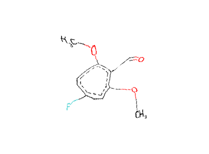 COc1cc(F)cc(OC)c1C=O